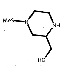 CSN1CCNC(CO)C1